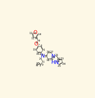 CC(C)CCN(c1ccc(OCc2ccoc2)cc1)C1CCN(Cc2ccc[nH]2)CC1